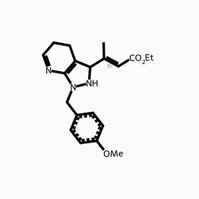 CCOC(=O)/C=C(\C)C1NN(Cc2ccc(OC)cc2)C2=C1CCC=N2